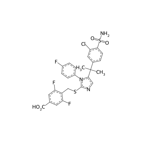 CC(C)(c1ccc(S(N)(=O)=O)c(Cl)c1)c1cnc(SCc2c(F)cc(C(=O)O)cc2F)n1-c1ccc(F)cc1